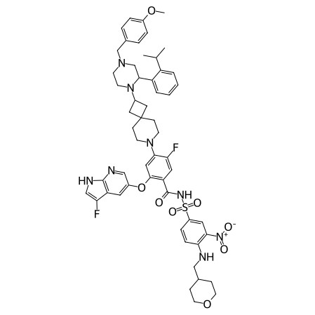 COc1ccc(CN2CCN(C3CC4(CCN(c5cc(Oc6cnc7[nH]cc(F)c7c6)c(C(=O)NS(=O)(=O)c6ccc(NCC7CCOCC7)c([N+](=O)[O-])c6)cc5F)CC4)C3)C(c3ccccc3C(C)C)C2)cc1